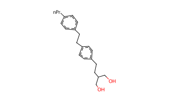 CCCc1ccc(CCc2ccc(CCC(CO)CO)cc2)cc1